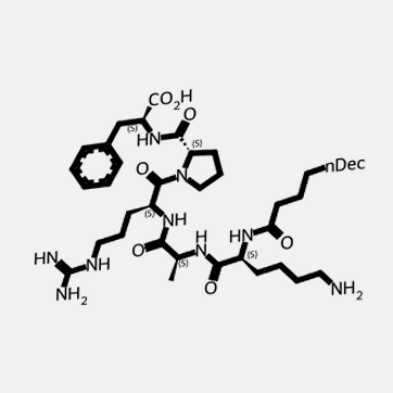 CCCCCCCCCCCCCC(=O)N[C@@H](CCCCN)C(=O)N[C@@H](C)C(=O)N[C@@H](CCCNC(=N)N)C(=O)N1CCC[C@H]1C(=O)N[C@@H](Cc1ccccc1)C(=O)O